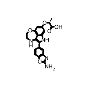 C[C@H](Oc1cc2c3c(c(-c4ccc5oc(N)nc5c4)[nH]c3c1)NCCO2)C(=O)O